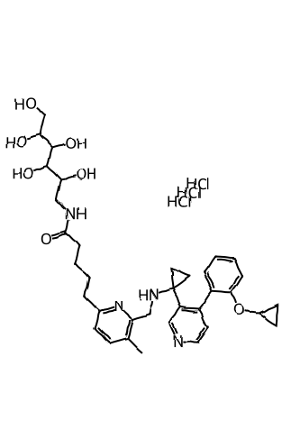 Cc1ccc(CCCCC(=O)NCC(O)C(O)C(O)C(O)CO)nc1CNC1(c2cnccc2-c2ccccc2OC2CC2)CC1.Cl.Cl.Cl